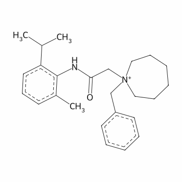 Cc1cccc(C(C)C)c1NC(=O)C[N+]1(Cc2ccccc2)CCCCCC1